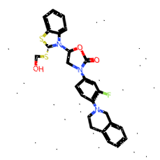 O=C1OC(N2c3ccccc3S[C@H]2SCO)CN1c1ccc(N2CCc3ccccc3C2)c(F)c1